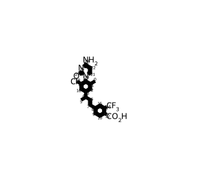 Cc1cc(C(C)/C=C/c2ccc(C(=O)O)c(C(F)(F)F)c2)cc(Cl)c1-n1ccc(N)nc1=O